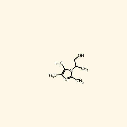 Cc1nc(C)n(C(C)CO)c1C